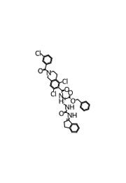 O=C(NC[C@H](NC(=O)c1c(Cl)cc2c(c1Cl)CCN(C(=O)c1cccc(Cl)c1)C2)C(=O)OCc1ccccc1)N[C@@H]1CCc2ccccc21